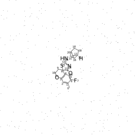 Cc1cc2c(cc1F)C1(CCO2)SC(N[C@H]2C[C@@H]3CCC2C3)=NC1=O